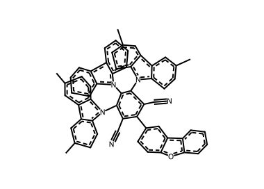 Cc1ccc2c(c1)c1cc(C)ccc1n2-c1c(C#N)c(-c2ccc3oc4ccccc4c3c2)c(C#N)c(-n2c3ccc(C)cc3c3cc(C)ccc32)c1-n1c2ccccc2c2ccccc21